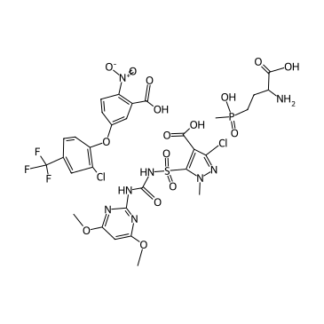 COc1cc(OC)nc(NC(=O)NS(=O)(=O)c2c(C(=O)O)c(Cl)nn2C)n1.CP(=O)(O)CCC(N)C(=O)O.O=C(O)c1cc(Oc2ccc(C(F)(F)F)cc2Cl)ccc1[N+](=O)[O-]